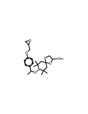 CCCCCCCCCCC1COC2(CC(C)(C)N(OC(C)c3ccc(OCC4CO4)cc3)C(C)(C)C2)O1